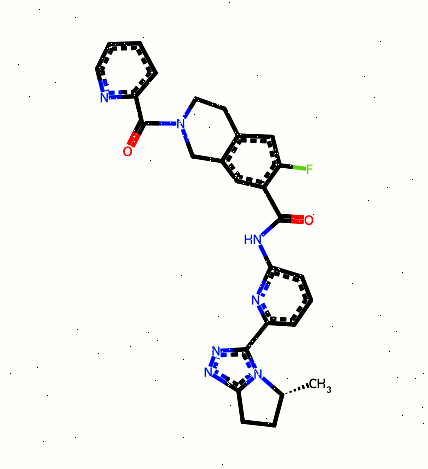 C[C@@H]1CCc2nnc(-c3cccc(NC(=O)c4cc5c(cc4F)CCN(C(=O)c4ccccn4)C5)n3)n21